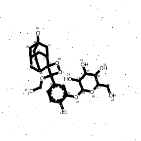 CCc1ccc(C2(OCC(F)(F)F)OOC23C2CC4CC3CC(Cl)(C4)C2)cc1OC1OC(CO)C(O)C(O)C1O